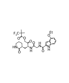 CCOc1cccc2[nH]c(C(=O)NCC(=O)N[C@@H](C[C@@H]3CCCNC3=O)C(=O)COC(=O)C(C)(C)C(F)(F)F)cc12